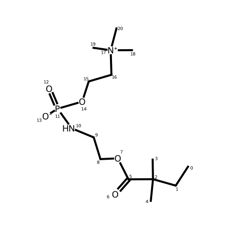 CCC(C)(C)C(=O)OCCNP(=O)([O-])OCC[N+](C)(C)C